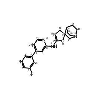 Fc1cncc(-c2cc(NC3=NC[C@@]4(CN5CCC4CC5)O3)ncn2)c1